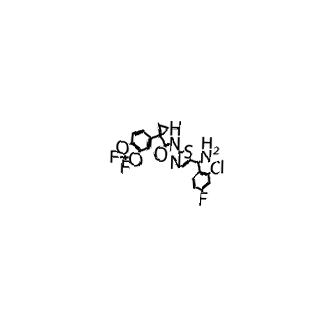 N[C@H](c1cnc(NC(=O)C2(c3ccc4c(c3)OC(F)(F)O4)CC2)s1)c1ccc(F)cc1Cl